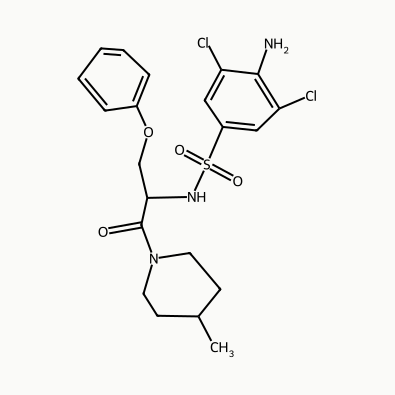 CC1CCN(C(=O)C(COc2ccccc2)NS(=O)(=O)c2cc(Cl)c(N)c(Cl)c2)CC1